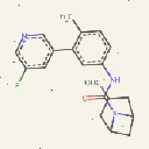 Cc1ccc(NC(=O)N2C3CC(C=O)CC2C3)cc1-c1cncc(F)c1